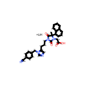 CC1(c2cccc3ccccc23)C(=O)N(CCCc2cncn2Cc2ccc(C#N)cc2)C(=O)N1CC(=O)O.[LiH]